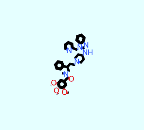 COc1cc(C(=O)N(C)CC(CCN2CCC(Nc3nc4ccccc4n3Cc3ccccn3)CC2)c2ccccc2)cc(OC)c1OC